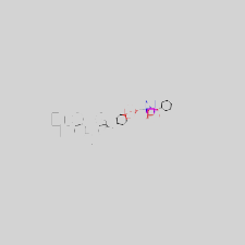 CCOC(=O)CC(Cc1ccc(OCCc2nc(-c3ccccc3)oc2C)cc1)C(=O)O